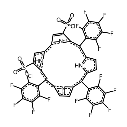 O=S(=O)(Cl)C1=Cc2nc1c(-c1c(F)c(F)c(F)c(F)c1F)c1ccc([nH]1)c(-c1c(F)c(F)c(F)c(F)c1F)c1ccc([nH]1)c(-c1c(F)c(F)c(F)c(F)c1F)c1[nH]c2cc1S(=O)(=O)Cl